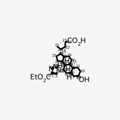 CCOC(=O)c1cn([C@H]2C[C@@H]3C[C@H](O)CC[C@]3(C)[C@H]3CC[C@]4(C)[C@@H](C(C)CCC(=O)O)CC[C@H]4[C@H]23)nn1